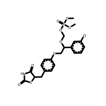 COP(=O)(OC)OCOC(COc1ccc(CC2SC(=O)NC2=O)cc1)c1cccc(Cl)c1